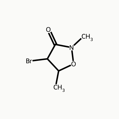 CC1ON(C)C(=O)C1Br